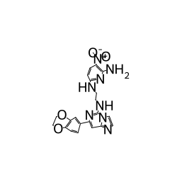 Nc1nc(NCCNc2nc(-c3ccc4c(c3)OCCO4)cc3nccn23)ccc1[N+](=O)[O-]